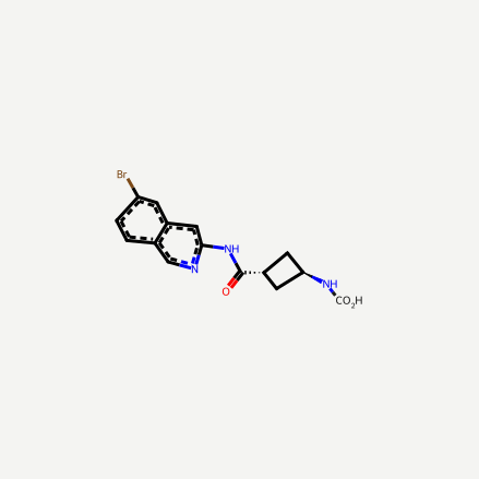 O=C(O)N[C@H]1C[C@H](C(=O)Nc2cc3cc(Br)ccc3cn2)C1